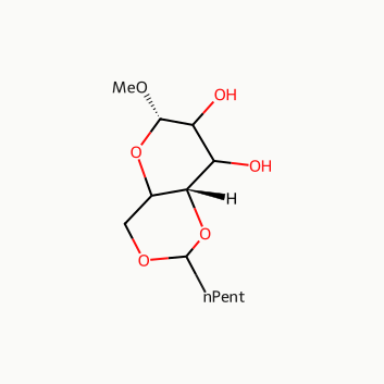 CCCCCC1OCC2O[C@H](OC)C(O)C(O)[C@@H]2O1